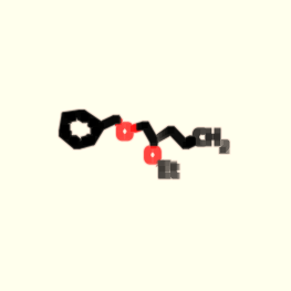 C=CC[C@H](COCc1ccccc1)OCC